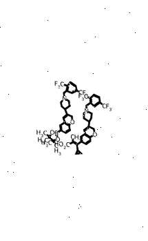 CC(C(=O)O)=C(c1ccc2c(c1)C=C(C1CCN(Cc3cc(C(F)(F)F)ccc3C(F)(F)F)CC1)CO2)C1CC1.CC1(C)OB(c2ccc3c(c2)C=C(C2CCN(Cc4cc(C(F)(F)F)ccc4C(F)(F)F)CC2)CO3)OC1(C)C